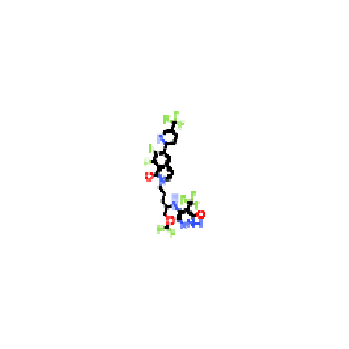 O=c1[nH]ncc(N[C@H](CCCn2ccc3cc(-c4ccc(C(F)(F)F)cn4)c(F)c(F)c3c2=O)COC(F)F)c1C(F)(F)F